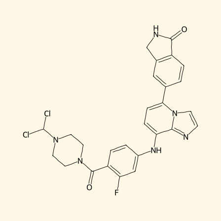 O=C1NCc2cc(-c3ccc(Nc4ccc(C(=O)N5CCN(C(Cl)Cl)CC5)c(F)c4)c4nccn34)ccc21